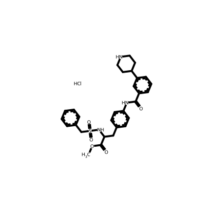 COC(=O)C(Cc1ccc(NC(=O)c2cccc(C3CCNCC3)c2)cc1)NS(=O)(=O)Cc1ccccc1.Cl